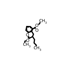 CCCCC(Cc1ccccc1C(=O)OCC)C(=O)OCC